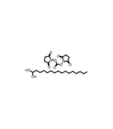 CCCCCCCCCCCCCCCC(O)O.O=C(ON1C(=O)CCC1=O)ON1C(=O)CCC1=O